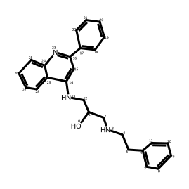 OC(CNCCc1ccccc1)CNc1cc(-c2ccccc2)nc2ccccc12